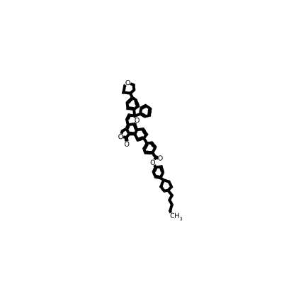 CCCCCC1CCC(c2ccc(OC(=O)c3ccc(-c4ccc5c6c(c7c(c5c4)C(=O)OC7)C=CC(c4ccccc4)(c4ccc(C5CCOCC5)cc4)O6)cc3)cc2)CC1